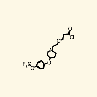 O=C(Cl)CCOCCN1CCC(Oc2ccc(OC(F)(F)F)cc2)CC1